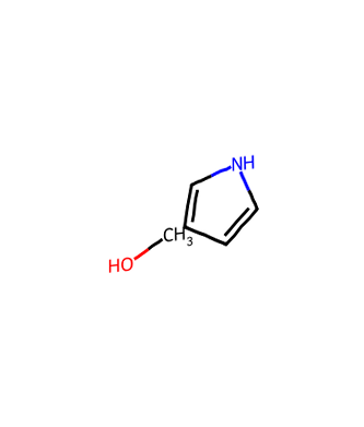 CO.c1cc[nH]c1